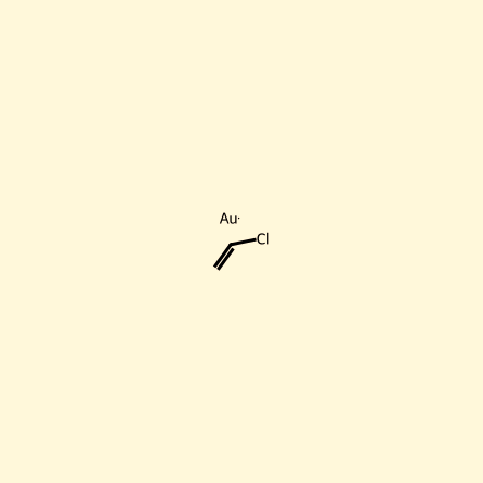 C=CCl.[Au]